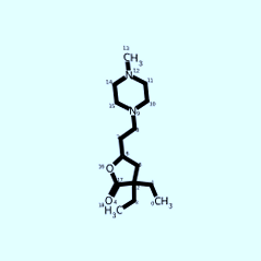 CCC1(CC)CC(CCN2CCN(C)CC2)OC1=O